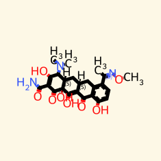 CO/N=C(/C)c1ccc(O)c2c1C[C@@H]1C[C@H]3C(N(C)C)C(O)=C(C(N)=O)C(=O)[C@@]3(O)C(O)=C1C2=O